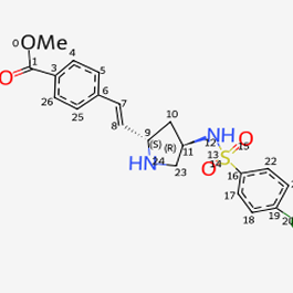 COC(=O)c1ccc(C=C[C@@H]2C[C@@H](NS(=O)(=O)c3ccc(Cl)cc3)CN2)cc1